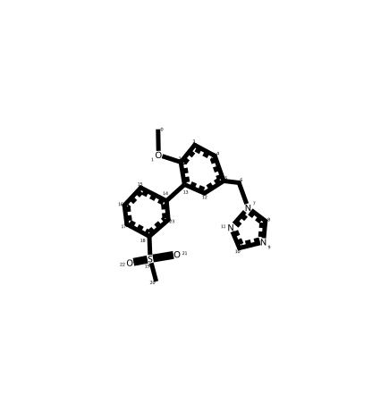 COc1ccc(Cn2cncn2)cc1-c1cccc(S(C)(=O)=O)c1